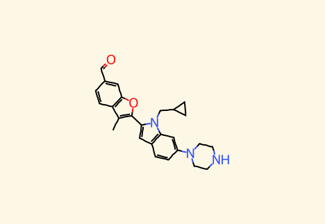 Cc1c(-c2cc3ccc(N4CCNCC4)cc3n2CC2CC2)oc2cc(C=O)ccc12